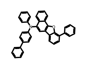 c1ccc(-c2ccc(N(c3ccccc3)c3cc4c5cccc(-c6ccccc6)c5oc4c4ccccc34)cc2)cc1